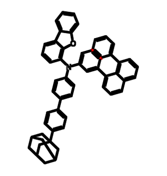 c1ccc(-c2cccc3cccc(-c4cccc(N(c5ccc(-c6ccc(C78CC9CC(CC(C9)C7)C8)cc6)cc5)c5cccc6c5oc5ccccc56)c4)c23)cc1